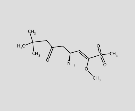 CO/C(=C\[C@@H](N)CC(=O)CC(C)(C)C)S(C)(=O)=O